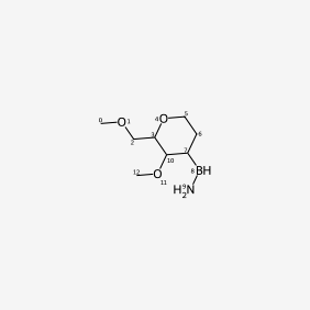 COCC1OCCC(BN)C1OC